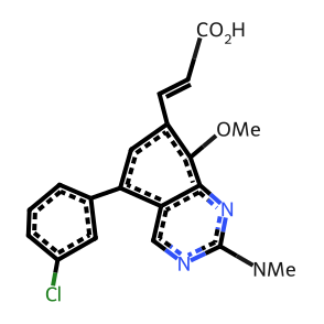 CNc1ncc2c(-c3cccc(Cl)c3)cc(C=CC(=O)O)c(OC)c2n1